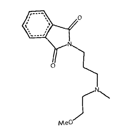 COCCN(C)CCCN1C(=O)c2ccccc2C1=O